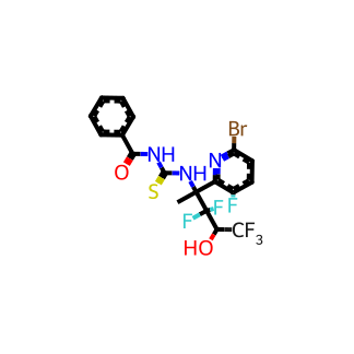 CC(NC(=S)NC(=O)c1ccccc1)(c1nc(Br)ccc1F)C(F)(F)C(O)C(F)(F)F